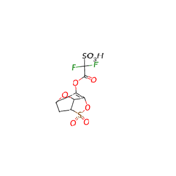 O=C(OC1=C2OS(=O)(=O)C3CC1OC23)C(F)(F)S(=O)(=O)O